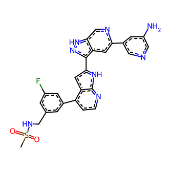 CS(=O)(=O)NCc1cc(F)cc(-c2ccnc3[nH]c(-c4n[nH]c5cnc(-c6cncc(N)c6)cc45)cc23)c1